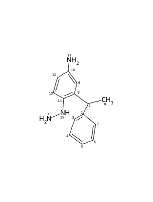 CC(c1ccccc1)c1cc(N)ccc1NN